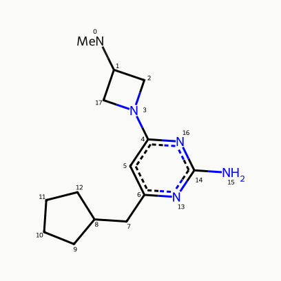 CNC1CN(c2cc(CC3CCCC3)nc(N)n2)C1